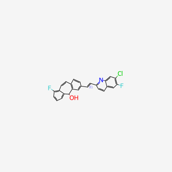 OC1c2cc(/C=C/c3ccc4cc(F)c(Cl)cc4n3)ccc2C=Cc2c(F)cccc21